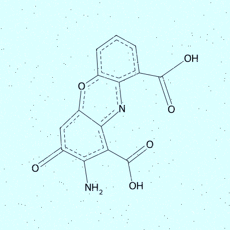 Nc1c(C(=O)O)c2nc3c(C(=O)O)cccc3oc-2cc1=O